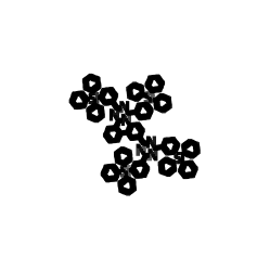 c1ccc([Si](c2ccccc2)(c2ccccc2)c2cccc(-c3nc(-c4cccc(-c5ccccc5-c5nc(-c6cccc([Si](c7ccccc7)(c7ccccc7)c7ccccc7)c6)nc(-c6cccc([Si](c7ccccc7)(c7ccccc7)c7ccccc7)c6)n5)c4)nc(-c4cccc([Si](c5ccccc5)(c5ccccc5)c5ccccc5)c4)n3)c2)cc1